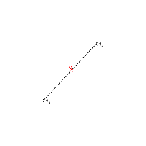 CCCCCCCCC=CCCCCCCCCCCCCOC(=O)CCCCCCCCCC=CCCCCCCCC